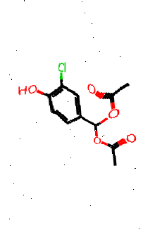 CC(=O)OC(OC(C)=O)c1ccc(O)c(Cl)c1